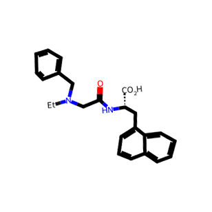 CCN(CC(=O)N[C@@H](Cc1cccc2ccccc12)C(=O)O)Cc1ccccc1